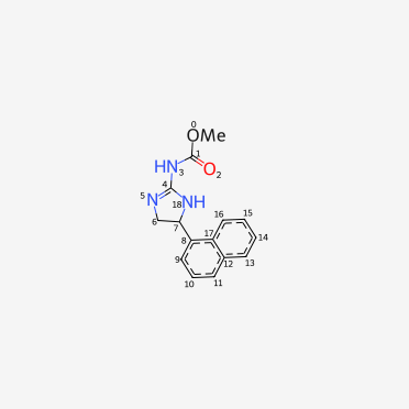 COC(=O)NC1=NCC(c2cccc3ccccc23)N1